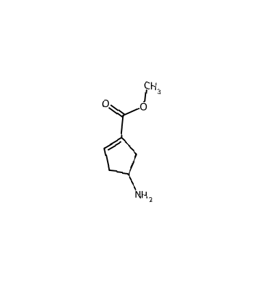 COC(=O)C1=CCC(N)C1